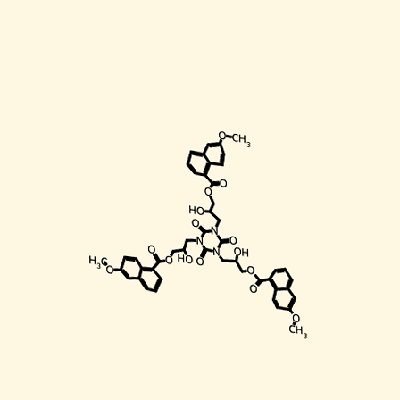 COc1ccc2c(C(=O)OCC(O)Cn3c(=O)n(CC(O)COC(=O)c4cccc5cc(OC)ccc45)c(=O)n(CC(O)COC(=O)c4cccc5cc(OC)ccc45)c3=O)cccc2c1